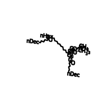 CCCCCCCCCCCCCCCC(=O)OC[C@H](COP(=O)([O-])OCC[N+](C)(C)C)OC(=O)CCCCCCCCCCC(CCCCCC)OC(=O)CCCCCCCCCCCCCCC